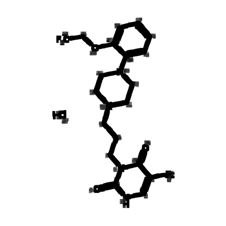 CCc1c[nH]c(=O)n(CCCN2CCN(c3ccccc3OCC(F)(F)F)CC2)c1=O.Cl